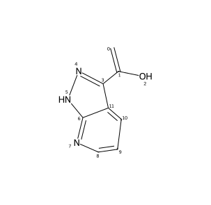 C=C(O)c1n[nH]c2ncccc12